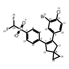 O=S(=O)(c1ccc(C2=C(c3ccc(Cl)c(Br)c3)CC3(CC3)C2)cc1)C(F)F